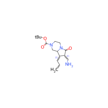 C=C/C=C1\C(=C/N)C(=O)N2CCN(C(=O)OC(C)(C)C)CC12